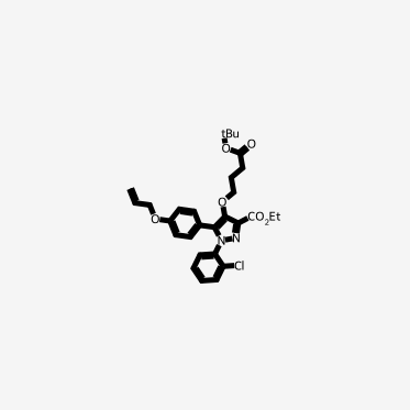 C=CCOc1ccc(-c2c(OCCCC(=O)OC(C)(C)C)c(C(=O)OCC)nn2-c2ccccc2Cl)cc1